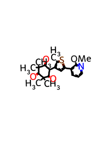 COc1ncccc1-c1cc(C2C(=O)C(C)(C)C(=O)C(C)(C)C2=O)c(C)s1